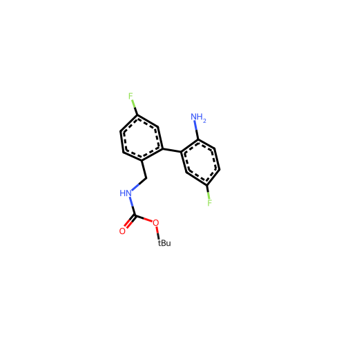 CC(C)(C)OC(=O)NCc1ccc(F)cc1-c1cc(F)ccc1N